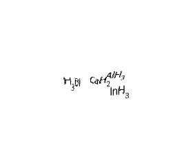 [AlH3].[BiH3].[CaH2].[InH3]